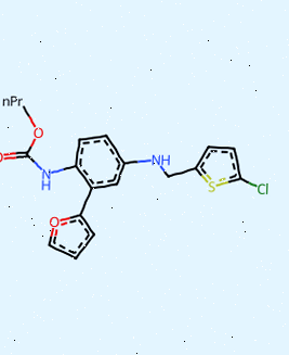 CCCOC(=O)Nc1ccc(NCc2ccc(Cl)s2)cc1-c1ccco1